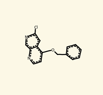 Clc1cc2c(OCc3ccccc3)ccnc2cn1